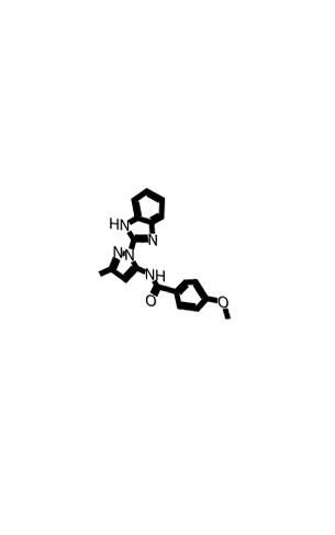 COc1ccc(C(=O)Nc2cc(C)nn2-c2nc3ccccc3[nH]2)cc1